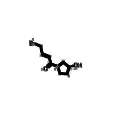 O=C(/C=C/CBr)N1CC[C@H](O)C1